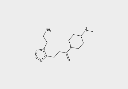 CNC1CCN(C(=O)CCc2nccn2CCN)CC1